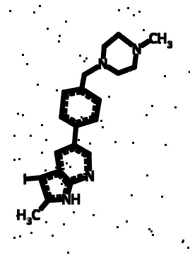 Cc1[nH]c2ncc(-c3ccc(CN4CCN(C)CC4)cc3)cc2c1I